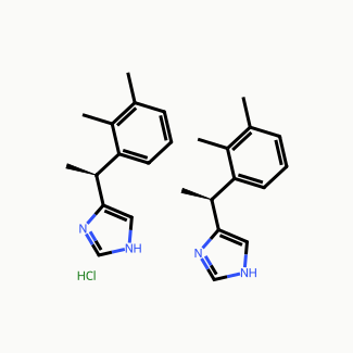 Cc1cccc([C@H](C)c2c[nH]cn2)c1C.Cc1cccc([C@H](C)c2c[nH]cn2)c1C.Cl